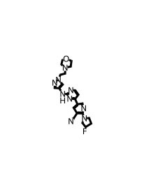 N#Cc1cc(-c2ccnc(Nc3cnn(CCN4CCOCC4)c3)n2)cnc1N1CC[C@H](F)C1